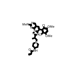 C=CC(=O)NC1CCN(CC(C)c2nc3c(-c4c(Cl)c(OC)cc(OC)c4Cl)cc4cnc(NC)nc4n3n2)CC1